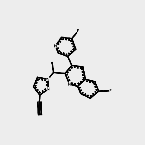 C#Cc1ccn(C(C)c2nc3ccc(F)cc3cc2-c2cncc(F)c2)n1